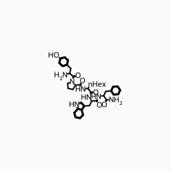 CCCCCCC(NC(=O)C1CCCN1C(=O)C(N)Cc1ccc(O)cc1)C(=O)NC(Cc1c[nH]c2ccccc12)C(=O)NC(Cc1ccccc1)C(N)=O